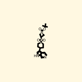 CC(C)(C)OC(=O)N1CC(S(=O)(=O)N2CCC(c3c[nH]c4cnccc34)CC2)C1